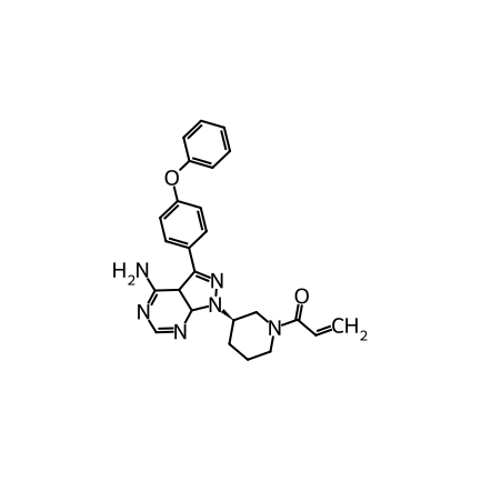 C=CC(=O)N1CCC[C@@H](N2N=C(c3ccc(Oc4ccccc4)cc3)C3C(N)=NC=NC32)C1